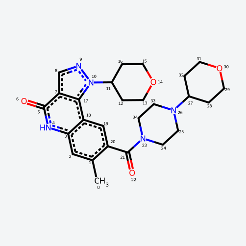 Cc1cc2[nH]c(=O)c3cnn(C4CCOCC4)c3c2cc1C(=O)N1CCN(C2CCOCC2)CC1